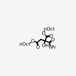 CCCCCCCCOC(=O)CC(O)(C(=O)CCC)C(=O)OCCCCCCCC